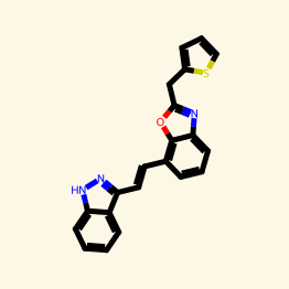 C(=C\c1cccc2nc(Cc3cccs3)oc12)/c1n[nH]c2ccccc12